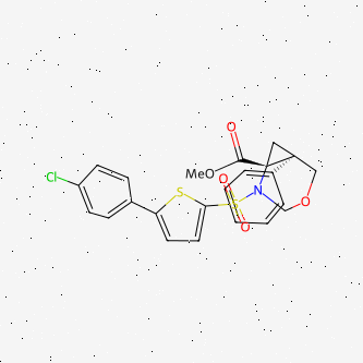 COC(=O)[C@@]12C[C@@]1(c1ccccc1)COCN2S(=O)(=O)c1ccc(-c2ccc(Cl)cc2)s1